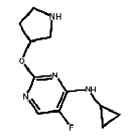 Fc1cnc(OC2CCNC2)nc1NC1CC1